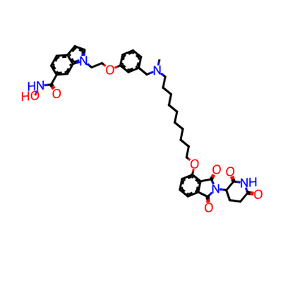 CN(CCCCCCCCCCOc1cccc2c1C(=O)N(C1CCC(=O)NC1=O)C2=O)Cc1cccc(OCCn2ccc3ccc(C(=O)NO)cc32)c1